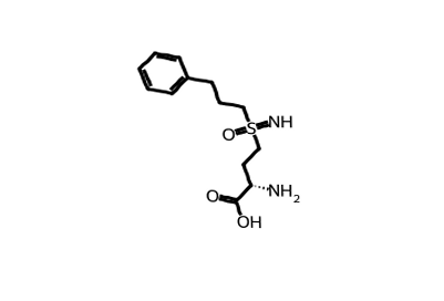 N=S(=O)(CCCc1ccccc1)CC[C@H](N)C(=O)O